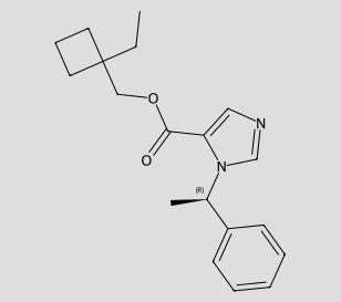 CCC1(COC(=O)c2cncn2[C@H](C)c2ccccc2)CCC1